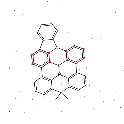 CC1(C)c2cccc(-c3ccccc3)c2N(B2c3ccccc3-n3c4ccccc4c4cccc2c43)c2c(-c3ccccc3)cccc21